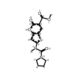 COC(=O)c1cc2sc(N(C)C(=O)N3CCCC3)cc2oc1=O